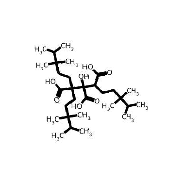 CC(C)C(C)(C)CCC(C(=O)O)C(O)(C(=O)O)C(CCC(C)(C)C(C)C)(CCC(C)(C)C(C)C)C(=O)O